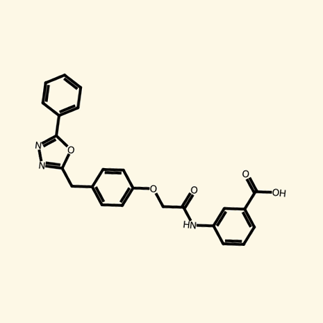 O=C(COc1ccc(Cc2nnc(-c3ccccc3)o2)cc1)Nc1cccc(C(=O)O)c1